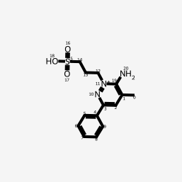 Cc1cc(-c2ccccc2)n[n+](CCCS(=O)(=O)O)c1N